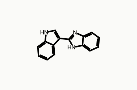 c1ccc2[nH]c(-c3c[nH]c4ccccc34)nc2c1